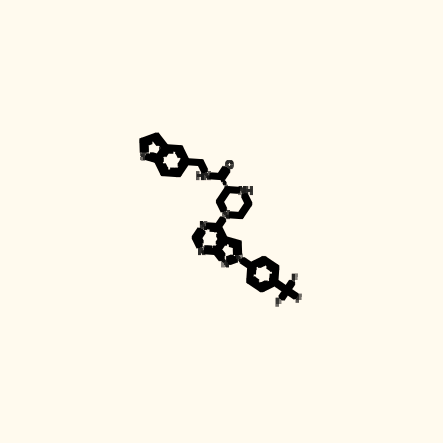 O=C(NCc1ccc2sccc2c1)[C@H]1CN(c2ncnc3nn(-c4ccc(C(F)(F)F)cc4)cc23)CCN1